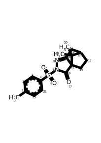 Cc1ccc(S(=O)(=O)N2N=C3CC4CCC3(C2=O)C4(C)C)cc1